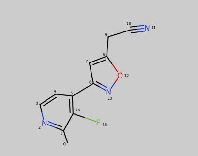 Cc1nccc(-c2cc(CC#N)on2)c1F